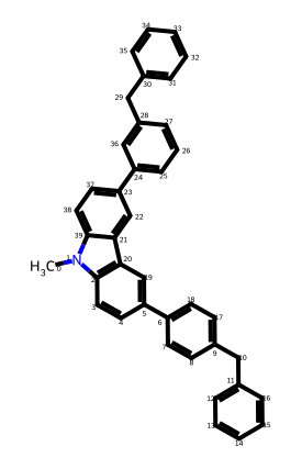 Cn1c2ccc(-c3ccc(Cc4ccccc4)cc3)cc2c2cc(-c3cccc(Cc4ccccc4)c3)ccc21